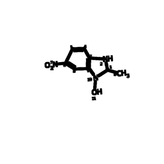 CC1Nc2ccc([N+](=O)[O-])cc2N1O